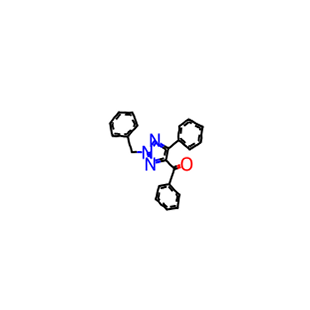 O=C(c1ccccc1)c1nn(Cc2ccccc2)nc1-c1ccccc1